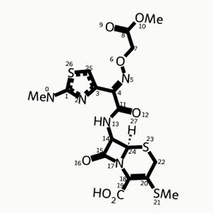 CNc1nc(/C(=N\OCC(=O)OC)C(=O)NC2C(=O)N3C(C(=O)O)=C(SC)CS[C@H]23)cs1